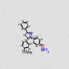 COc1ccc(C2CC(c3ccccc3)=NN2c2ccc(ON)cc2)cc1